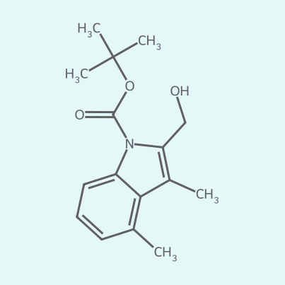 Cc1cccc2c1c(C)c(CO)n2C(=O)OC(C)(C)C